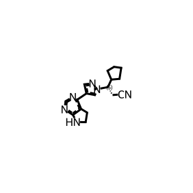 N#CC[C@@H](C1CCCC1)n1cc(-c2ncnc3c2CCN3)cn1